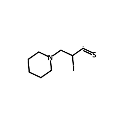 S=[C]C(I)CN1CCCCC1